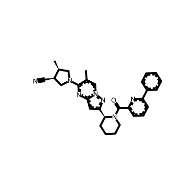 Cc1cn2nc([C@@H]3CCCCN3C(=O)c3cccc(-c4ccccc4)n3)cc2nc1N1C[C@@H](C#N)[C@@H](C)C1